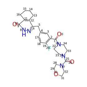 O=C(c1cc(Cc2n[nH]c(=O)c3c2CCCC3)ccc1F)N1CCN(C(=O)N2CCOCC2)CC1